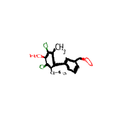 Cc1c(Cl)c(O)c(Cl)c(C)c1-c1cccc(C=O)c1